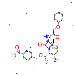 O=C(COc1ccccc1)N[C@@H]1C(=O)N2C(C(=O)OCc3ccc([N+](=O)[O-])cc3)=C(Br)CS[C@@H]12